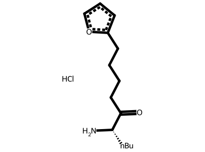 CCCC[C@H](N)C(=O)CCCCc1ccco1.Cl